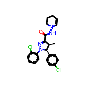 C[C@@H]1C(C(=O)NN2C=CCCC2)=NN(c2ccccc2Cl)[C@@H]1c1ccc(Cl)cc1